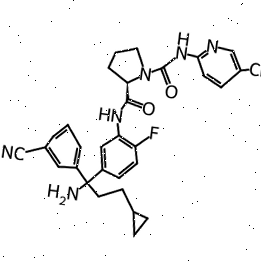 N#Cc1cccc(C(N)(CCC2CC2)c2ccc(F)c(NC(=O)[C@H]3CCCN3C(=O)Nc3ccc(Cl)cn3)c2)c1